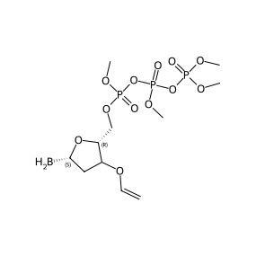 B[C@H]1CC(OC=C)[C@@H](COP(=O)(OC)OP(=O)(OC)OP(=O)(OC)OC)O1